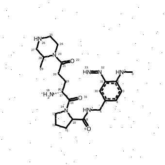 CNc1ccc(CNC(=O)C2CCCN2C(=O)[C@H](N)CCC(=O)N2CCNCC2C)cc1N=N